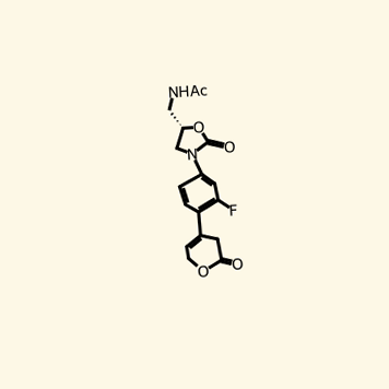 CC(=O)NC[C@H]1CN(c2ccc(C3=CCOC(=O)C3)c(F)c2)C(=O)O1